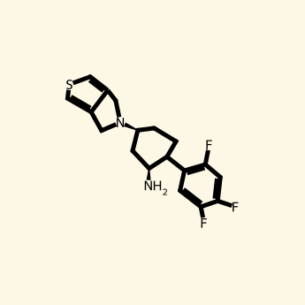 N[C@H]1C[C@@H](N2Cc3cscc3C2)CCC1c1cc(F)c(F)cc1F